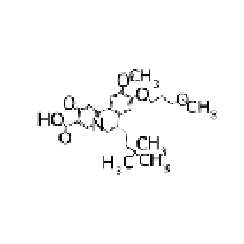 COCCCOc1cc2c(cc1OC)-c1cc(=O)c(C(=O)O)cn1C[C@H]2CCC(C)(C)C